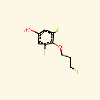 Oc1cc(F)c(OCCCF)c(F)c1